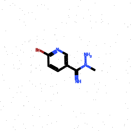 CN(N)C(=N)c1ccc(Br)nc1